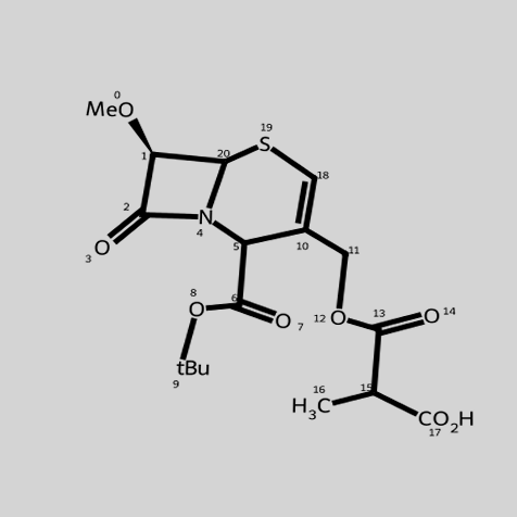 CO[C@@H]1C(=O)N2C(C(=O)OC(C)(C)C)C(COC(=O)C(C)C(=O)O)=CSC12